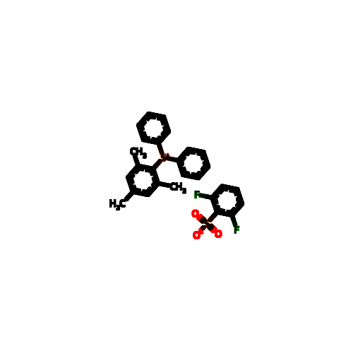 Cc1cc(C)c([S+](c2ccccc2)c2ccccc2)c(C)c1.O=S(=O)([O-])c1c(F)cccc1F